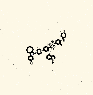 Cc1cc(S(=O)(=O)NC(=O)c2ccc(N3CCN(C/C4=C(\c5ccc(Cl)cc5)CCCCCC4)CC3)cc2Oc2cccc3[nH]ccc23)ccc1NC1CCN(C)CC1